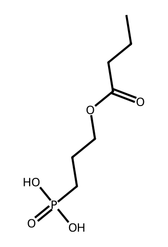 CCCC(=O)OCCCP(=O)(O)O